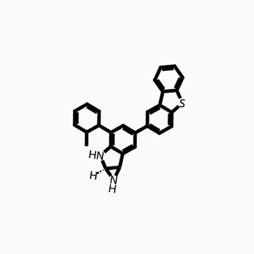 CC1C=CC=CC1c1cc(-c2ccc3sc4ccccc4c3c2)cc2c1N[C@@H]1NC21